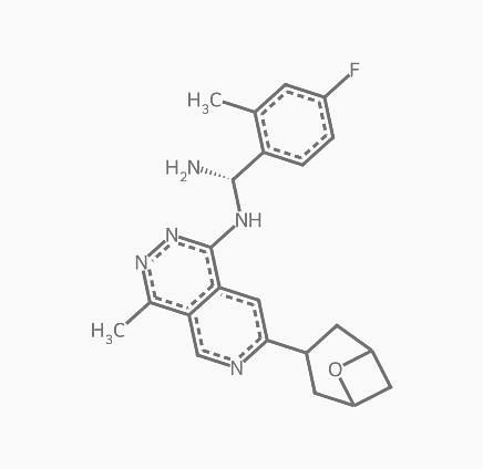 Cc1cc(F)ccc1[C@@H](N)Nc1nnc(C)c2cnc(C3CC4CC(C3)O4)cc12